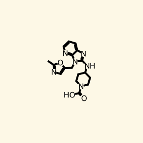 Cc1ncc(Cn2c(NC3CCN(C(=O)O)CC3)nc3cccnc32)o1